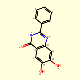 O=c1[nH]c(-c2ccccc2)nc2cc(O)c(O)cc12